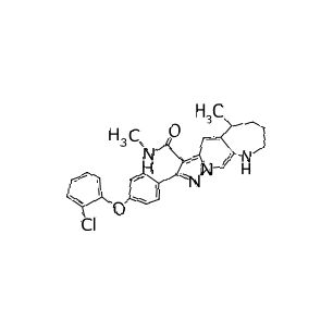 CNC(=O)c1c(-c2ccc(Oc3ccccc3Cl)cc2)nn2cc3c(cc12)C(C)CCCN3